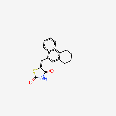 O=C1NC(=O)C(=Cc2cc3c(c4ccccc24)CCCC3)S1